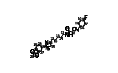 O=C(COCc1ccc(F)cc1)NCCCCCc1csc(-c2ccc3c(c2)OCO3)n1